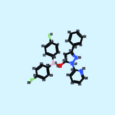 Fc1ccc(B(Oc2cc(-c3ccccc3)nn2-c2ccccn2)c2ccc(F)cc2)cc1